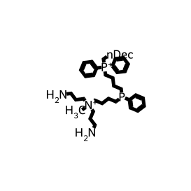 CCCCCCCCCCC[P+](CCCCP(CCCC[N+](C)(CCCN)CCCN)c1ccccc1)(c1ccccc1)c1ccccc1